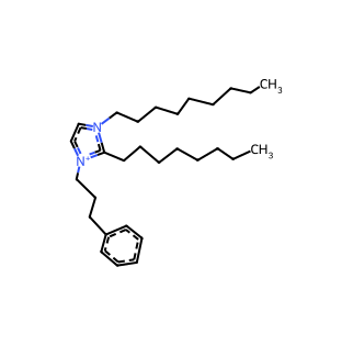 CCCCCCCCCn1cc[n+](CCCc2ccccc2)c1CCCCCCCC